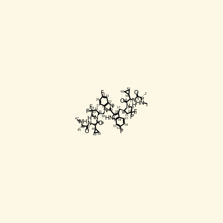 CN[C@@H](C)C(=O)NC(C(=O)N1CC(F)(F)C[C@H]1Cc1c(-c2nc3cc(F)ccc3n2C[C@@H]2CC(F)(F)CN2C(=O)C(NC(=O)[C@H](C)NC)C2CC2)[nH]c2cc(F)ccc12)C1CC1